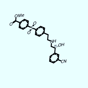 COC(=O)c1ccc(S(=O)(=O)c2ccc(CCNC[C@H](O)c3cccc(C#N)c3)cc2)cc1